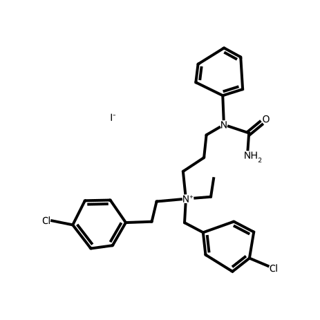 CC[N+](CCCN(C(N)=O)c1ccccc1)(CCc1ccc(Cl)cc1)Cc1ccc(Cl)cc1.[I-]